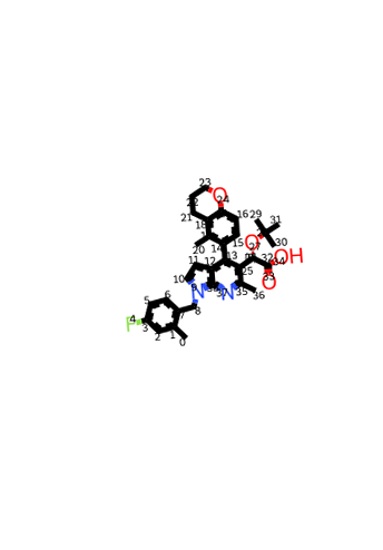 Cc1cc(F)ccc1Cn1ccc2c(-c3ccc4c(c3C)CCCO4)c([C@H](OC(C)(C)C)C(=O)O)c(C)nc21